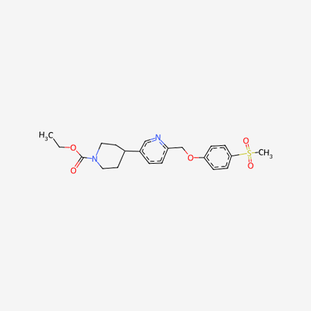 CCOC(=O)N1CCC(c2ccc(COc3ccc(S(C)(=O)=O)cc3)nc2)CC1